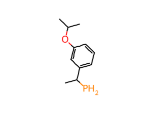 CC(C)Oc1cccc(C(C)P)c1